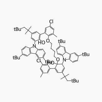 Cc1cc(Cl)cc(C2=CC(C(C)(C)CC(C)(C)C)=CC(n3c4ccc(C(C)(C)C)cc4c4cc(C(C)(C)C)ccc43)C2(O)OCCCCOc2c(C)cc(Cl)cc2-c2cc(C(C)(C)CC(C)(C)C)cc(-n3c4ccc(C(C)(C)C)cc4c4cc(C(C)(C)C)ccc43)c2O)c1